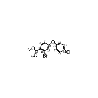 COC(OC)c1ccc(Oc2ccc(Cl)cc2)cc1Br